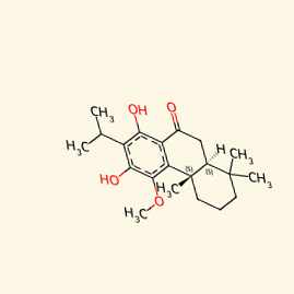 COc1c(O)c(C(C)C)c(O)c2c1[C@@]1(C)CCCC(C)(C)[C@@H]1CC2=O